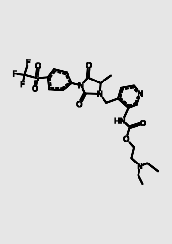 CCN(CC)CCOC(=O)Nc1cnccc1CN1C(=O)N(c2ccc(S(=O)(=O)C(F)(F)F)cc2)C(=O)C1C